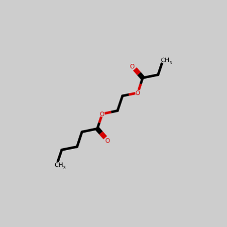 CCCCC(=O)OCCOC(=O)CC